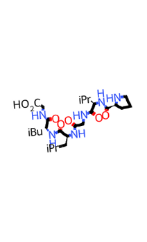 CC[C@H](C)[C@H](NC(=O)[C@H](CC(C)C)NC(=O)CNC(=O)[C@@H](NC(=O)[C@@H]1CCCN1)C(C)C)C(=O)NCC(=O)O